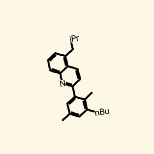 CCCCc1cc(C)cc(-c2ccc3c(CC(C)C)cccc3n2)c1C